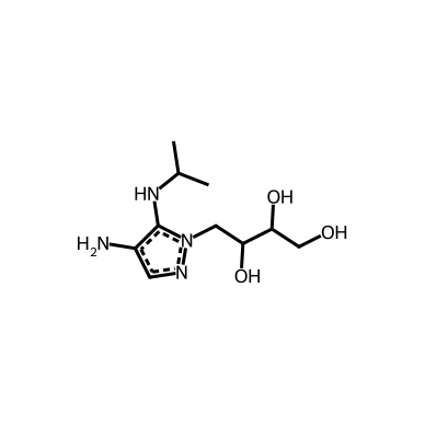 CC(C)Nc1c(N)cnn1CC(O)C(O)CO